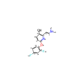 CN(C)C=Cc1nc(Oc2ccc(F)cc2F)ccc1C#N